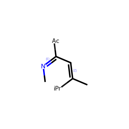 C/N=C(\C=C(\C)C(C)C)C(C)=O